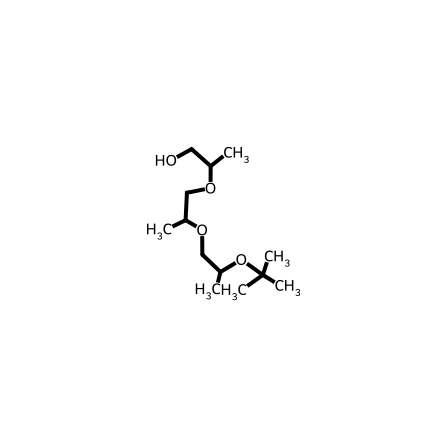 CC(CO)OCC(C)OCC(C)OC(C)(C)C